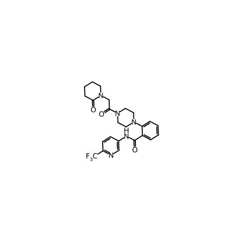 O=C(Nc1ccc(C(F)(F)F)nc1)c1ccccc1N1CCN(C(=O)CN2CCCCC2=O)CC1